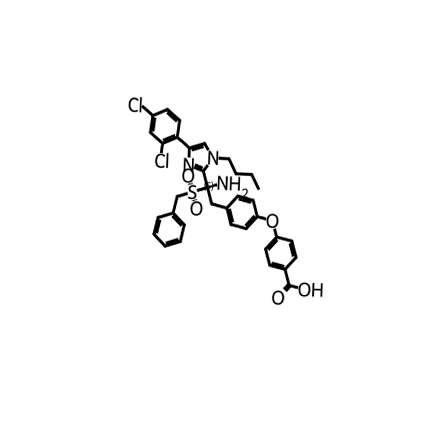 CCCCn1cc(-c2ccc(Cl)cc2Cl)nc1[C@](N)(Cc1ccc(Oc2ccc(C(=O)O)cc2)cc1)S(=O)(=O)Cc1ccccc1